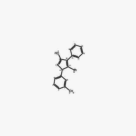 Cc1cccc(-n2nc(O)c(-c3ccccc3)c2C(C)C)c1